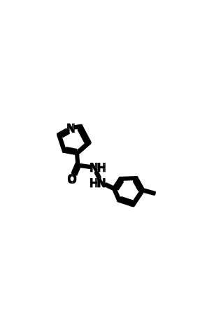 Cc1ccc(NNC(=O)c2ccncc2)cc1